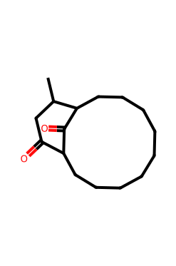 CC1CC(=O)C2CCCCCCCCCC1C2=O